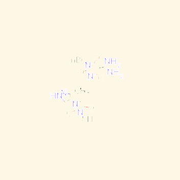 CCCCN1C(=O)C(=C(N)N)C(=O)N(C2CCC3(CC2)CC2(C3)C(=O)N(C)C(=O)N2c2c[nH]nc2C)C1=O